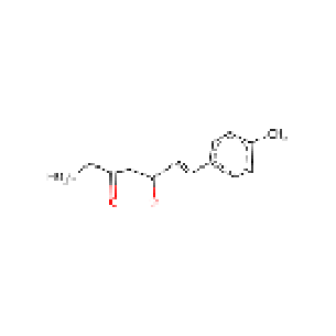 Cc1ccc(C=CC(=O)CC(=O)CC(=O)O)cc1